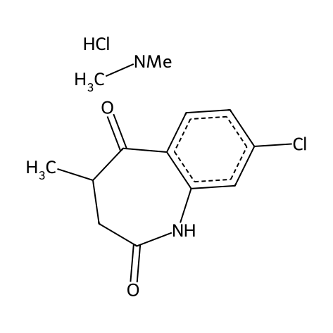 CC1CC(=O)Nc2cc(Cl)ccc2C1=O.CNC.Cl